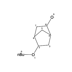 [CH2]CCCOC1CC2CC1CC2[O]